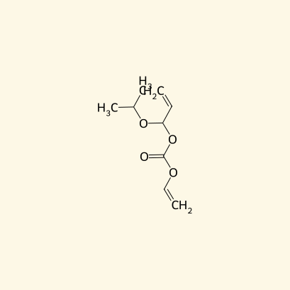 C=COC(=O)OC(C=C)OC(C)C